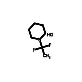 CC(F)(F)N1CCCCC1.Cl